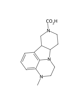 CN1CCN2c3c(cccc31)C1CN(C(=O)O)CCC12